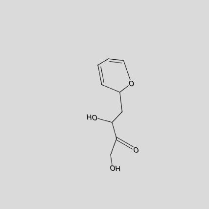 O=C(CO)C(O)CC1C=CC=CO1